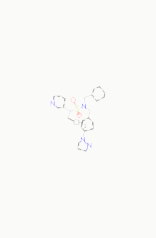 C=CC(c1cccnc1)S(=O)(=O)N(Cc1ccccc1)Cc1ccc(-n2cccn2)cc1